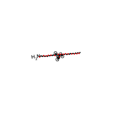 CCCCCCCCCCCCCCCC(=O)O[C@@H](COP=O)COC(=O)CCCCCCCCCCCCCN